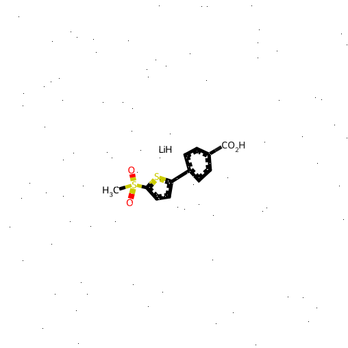 CS(=O)(=O)c1ccc(-c2ccc(C(=O)O)cc2)s1.[LiH]